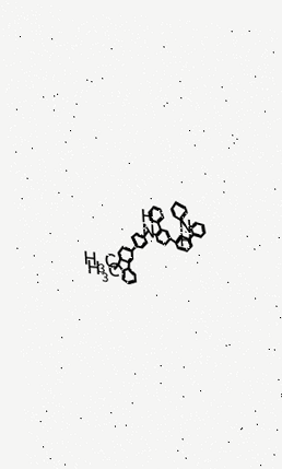 CC1(C)c2ccccc2-c2cc(-c3ccc(Nc4ccc(-c5cccc(-c6ccccc6Nc6ccccc6)c5)cc4-c4ccccc4)cc3)ccc21